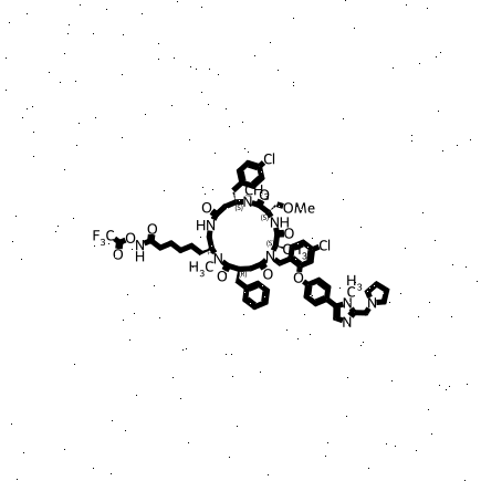 COC[C@@H]1NC(=O)[C@H](C)N(Cc2ccc(Cl)cc2Oc2ccc(-c3cnc(CN4CCCC4)n3C)cc2)C(=O)C[C@@H](Cc2ccccc2)C(=O)N(C)[C@@H](CCCCCC(=O)NOC(=O)C(F)(F)F)CNC(=O)C[C@H](Cc2ccc(Cl)cc2)N(C)C1=O